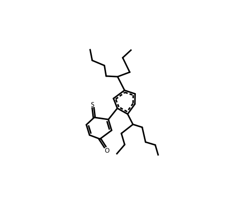 CCCCC(CCC)c1ccc(C(CCC)CCCC)c(C2=CC(=O)C=CC2=S)c1